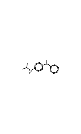 CC(C)[AsH]c1ccc(Nc2ccccc2)cc1